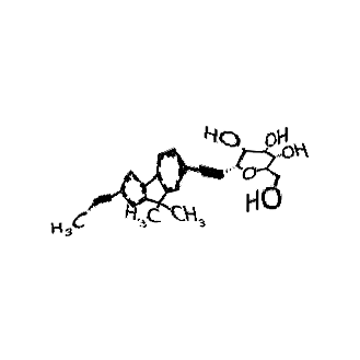 CC#Cc1ccc2c(c1)C(C)(C)c1cc(C#C[C@H]3O[C@H](CO)[C@@H](O)[C@H](O)[C@@H]3O)ccc1-2